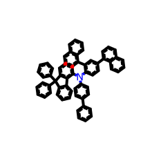 c1ccc(-c2ccc(N(c3ccc(-c4cccc5ccccc45)cc3-c3cccc4ccccc34)c3cccc4c3-c3ccccc3C4(c3ccccc3)c3ccccc3)cc2)cc1